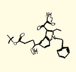 CCc1c(C(=O)C(N)=O)c2cc(C(O)CCC(=O)OC(C)(C)C)ccc2n1Cc1ccccc1